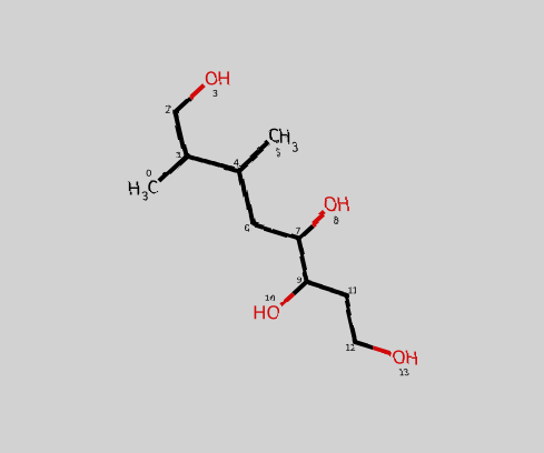 CC(CO)C(C)CC(O)C(O)CCO